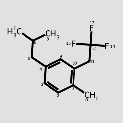 Cc1ccc(CC(C)C)cc1CC(F)(F)F